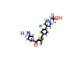 Cc1cc(-c2ccc(C3CCN(CC(C)(C)O)CC3)c(F)c2)sc1C(=O)N1CC[C@H](N)C1